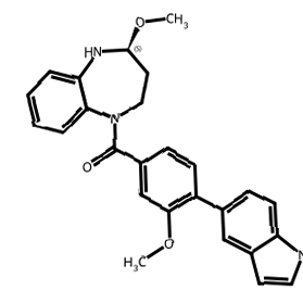 COc1cc(C(=O)N2CC[C@H](OC)Nc3ccccc32)ccc1-c1ccc2[nH]ccc2c1